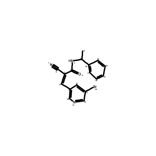 CC(NC(=O)C(C#N)=Cc1cncc(Br)c1)c1ccccc1